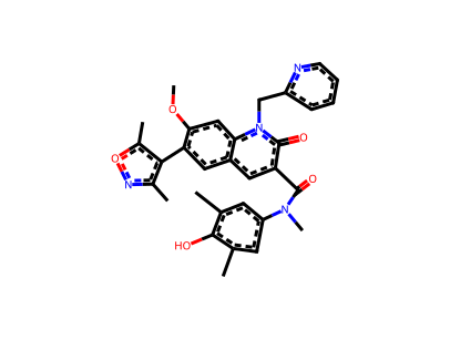 COc1cc2c(cc1-c1c(C)noc1C)cc(C(=O)N(C)c1cc(C)c(O)c(C)c1)c(=O)n2Cc1ccccn1